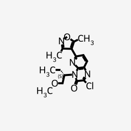 CC[C@@H](COC)n1c(=O)c(Cl)nc2ccc(-c3c(C)noc3C)nc21